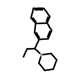 [CH2]CC(c1ccc2ccccc2c1)N1CCCCC1